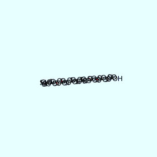 C[SiH](C)OO[Si](C)(C)OO[Si](C)(C)OO[Si](C)(C)OO[Si](C)(C)OO[Si](C)(C)OO[Si](C)(C)OO[Si](C)(C)OO[Si](C)(C)OO[Si](C)(C)OO[Si](C)(C)OO[Si](C)(C)OO[Si](C)(C)OO[Si](C)(C)OO[Si](C)(C)OO